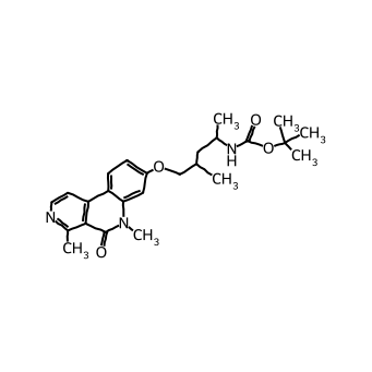 Cc1nccc2c1c(=O)n(C)c1cc(OCC(C)CC(C)NC(=O)OC(C)(C)C)ccc21